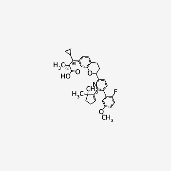 COc1ccc(F)c(-c2ccc(C3CCc4ccc([C@H](C5CC5)[C@H](C)C(=O)O)cc4O3)nc2C2=CCCC2(C)C)c1